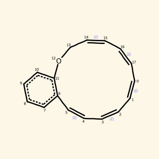 C1=C\C=C/C=C\c2ccccc2OC/C=C\C=C/1